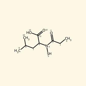 CCC(=O)N(S)C(CC(C)C)C(=O)O